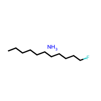 CCCCCCCCCCCF.N